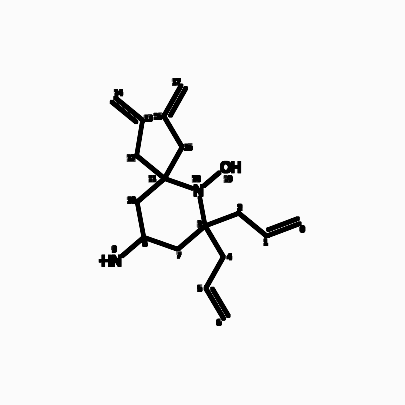 C=CCC1(CC=C)CC([NH])CC(CC=C)(CC=C)N1O